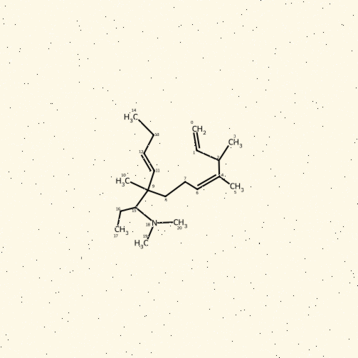 C=CC(C)/C(C)=C\CCC(C)(/C=C/CC)C(CC)N(C)C